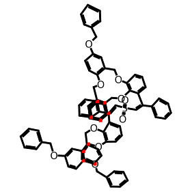 O=S(=O)(C=C(c1ccccc1)c1cccc(OCc2cc(OCc3ccccc3)ccc2OCc2ccccc2)c1OCc1ccccc1)C=C(c1ccccc1)c1cccc(OCc2cc(OCc3ccccc3)ccc2OCc2ccccc2)c1OCc1ccccc1